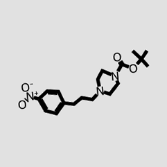 CC(C)(C)OC(=O)N1CCN(CCCc2ccc([N+](=O)[O-])cc2)CC1